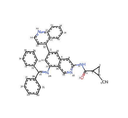 N#CC1CC1C(=O)Nc1cc2cc(-c3ccnc4ccccc34)cc(N=C(c3ccccc3)c3ccccc3)c2cn1